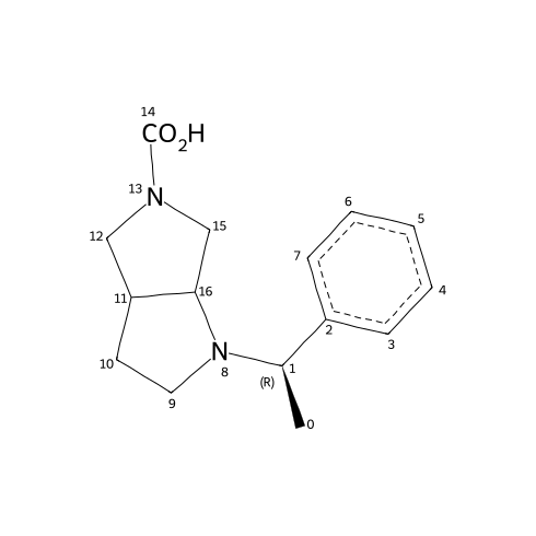 C[C@H](c1ccccc1)N1CCC2CN(C(=O)O)CC21